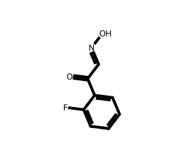 O=C(C=NO)c1ccccc1F